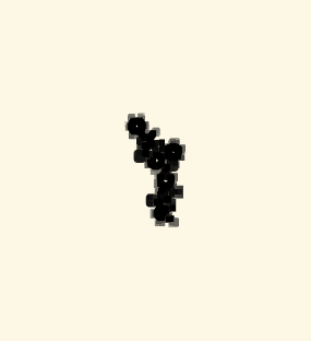 Cc1c(-c2ccccc2)sc(C(=O)N2CC[C@@H](C(=O)N3CCC(O)(Cn4cnc5c(ccn5C)c4=O)CC3)[C@H](c3ccccc3)C2)c1Cl